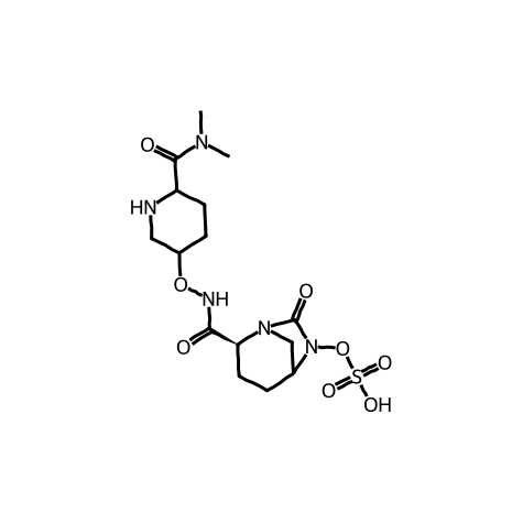 CN(C)C(=O)C1CCC(ONC(=O)[C@@H]2CCC3CN2C(=O)N3OS(=O)(=O)O)CN1